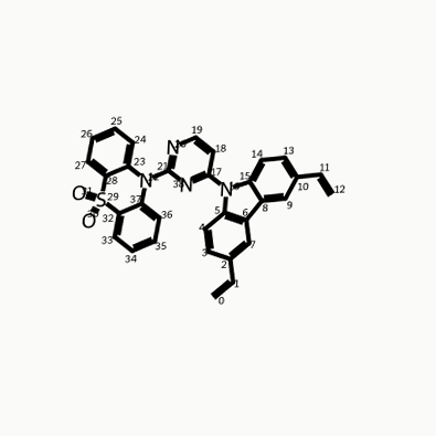 C=Cc1ccc2c(c1)c1cc(C=C)ccc1n2-c1ccnc(N2c3ccccc3S(=O)(=O)c3ccccc32)n1